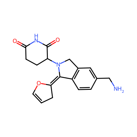 NCc1ccc2c(c1)CN(C1CCC(=O)NC1=O)C2=C1CC=CO1